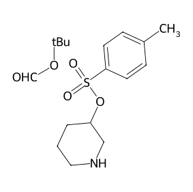 CC(C)(C)OC=O.Cc1ccc(S(=O)(=O)OC2CCCNC2)cc1